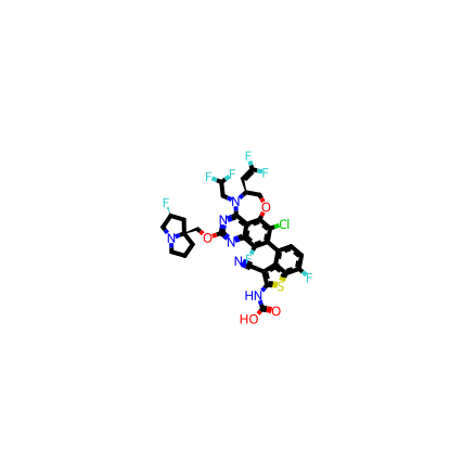 N#Cc1c(NC(=O)O)sc2c(F)ccc(-c3c(Cl)c4c5c(nc(OC[C@@]67CCCN6C[C@H](F)C7)nc5c3F)N(CC(F)F)[C@@H](C=C(F)F)CO4)c12